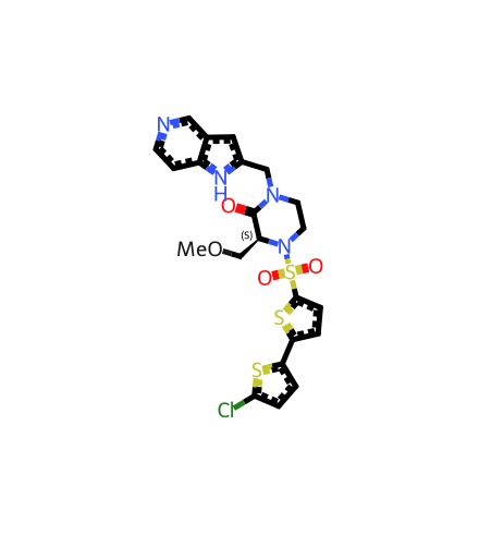 COC[C@H]1C(=O)N(Cc2cc3cnccc3[nH]2)CCN1S(=O)(=O)c1ccc(-c2ccc(Cl)s2)s1